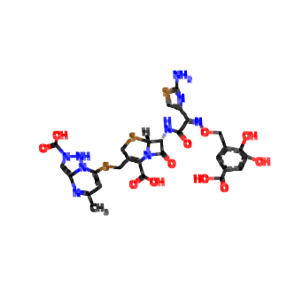 CC1=NC2=CN(C(=O)O)NN2C(SCC2=C(C(=O)O)N3C(=O)[C@@H](NC(=O)/C(=N\OCc4cc(C(=O)O)cc(O)c4O)c4csc(N)n4)[C@H]3SC2)=C1